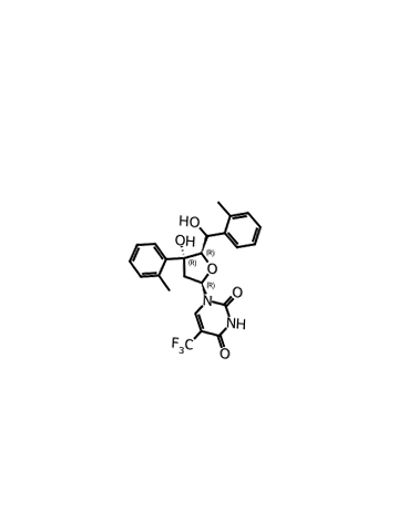 Cc1ccccc1C(O)[C@H]1O[C@@H](n2cc(C(F)(F)F)c(=O)[nH]c2=O)C[C@@]1(O)c1ccccc1C